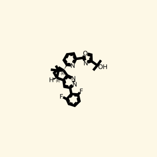 CC(C)(O)c1coc(-c2cccc([C@]34CC[C@@H](c5cc(-c6c(F)cccc6F)nnc53)C4(C)C)n2)n1